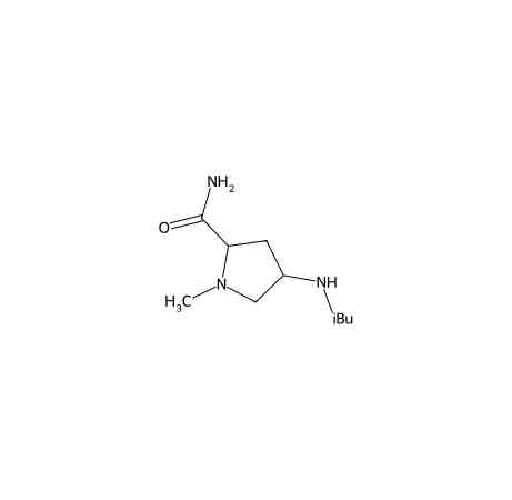 CCC(C)NC1CC(C(N)=O)N(C)C1